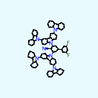 N#Cc1c(-n2c3ccc(-n4c5ccccc5c5ccccc54)cc3c3cc(-n4c5ccccc5c5ccccc54)ccc32)cc(-c2cc(F)cc(F)c2)cc1-n1c2ccc(-n3c4ccccc4c4ccccc43)cc2c2cc(-n3c4ccccc4c4ccccc43)ccc21